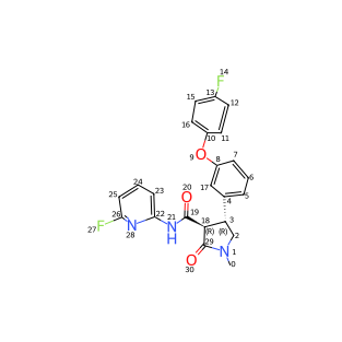 CN1C[C@@H](c2cccc(Oc3ccc(F)cc3)c2)[C@H](C(=O)Nc2cccc(F)n2)C1=O